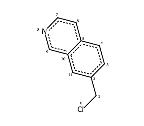 ClCc1ccc2ccncc2c1